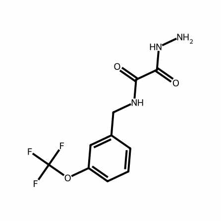 NNC(=O)C(=O)NCc1cccc(OC(F)(F)F)c1